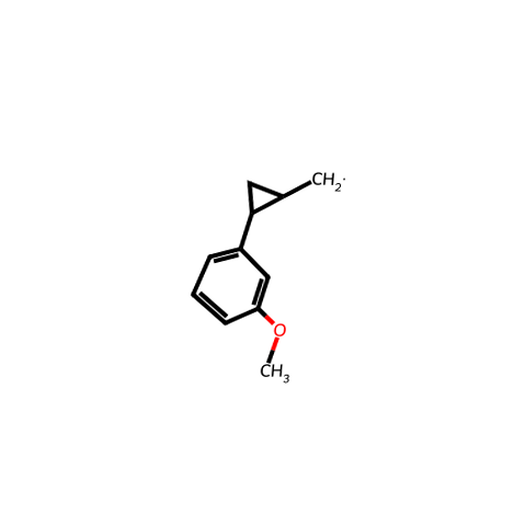 [CH2]C1CC1c1cccc(OC)c1